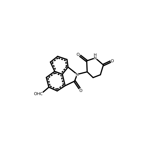 O=Cc1cc2c3c(cccc3c1)N(C1CCC(=O)NC1=O)C2=O